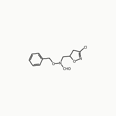 O=CN(CC1CC(Cl)=NO1)OCc1ccccc1